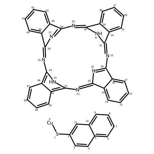 [Cu][S]c1ccc2ccccc2c1.c1ccc2c(c1)-c1nc-2nc2[nH]c(nc3nc(nc4[nH]c(n1)c1ccccc41)-c1ccccc1-3)c1ccccc21